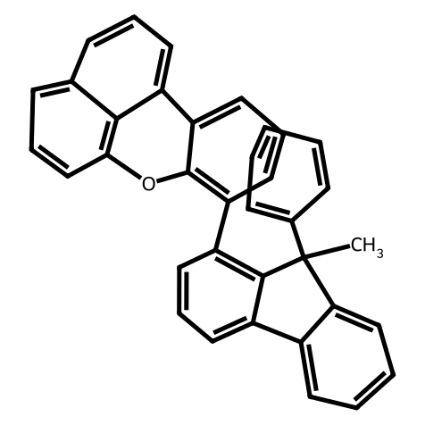 CC1(c2ccccc2)c2ccccc2-c2cccc(-c3cccc4c3Oc3cccc5cccc-4c35)c21